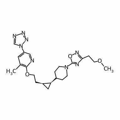 COCCc1noc(N2CCC([C@H]3C[C@H]3CCOc3ncc(-n4cnnn4)cc3C)CC2)n1